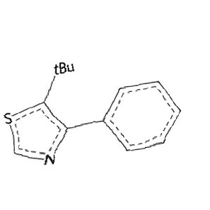 CC(C)(C)c1scnc1-c1ccccc1